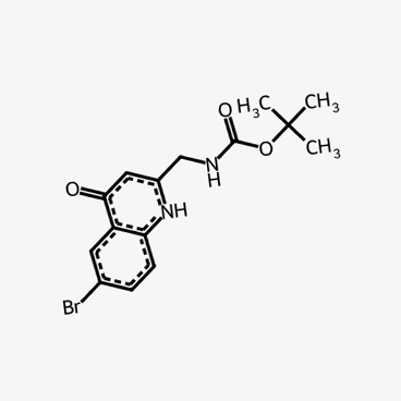 CC(C)(C)OC(=O)NCc1cc(=O)c2cc(Br)ccc2[nH]1